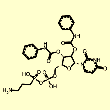 NCCCP(=O)(O)OP(=O)(O)OC[C@H]1O[C@@H](n2ccc(=O)[nH]c2=O)C(OC(=O)Nc2ccccc2)[C@H]1OC(=O)Nc1ccccc1